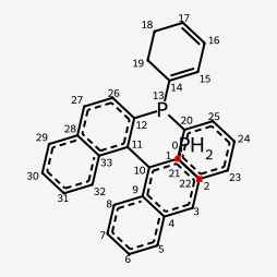 Pc1ccc2ccccc2c1-c1c(P(C2=CC=CCC2)c2ccccc2)ccc2ccccc12